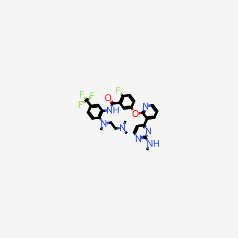 CNc1nccc(-c2cccnc2Oc2ccc(F)c(C(=O)Nc3cc(C(F)(F)F)ccc3N(C)CCN(C)C)c2)n1